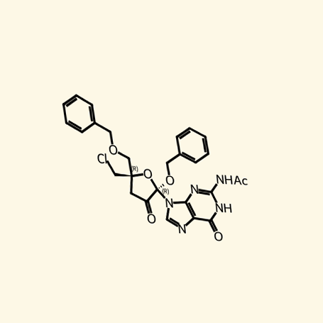 CC(=O)Nc1nc2c(ncn2[C@]2(OCc3ccccc3)O[C@@](CCl)(COCc3ccccc3)CC2=O)c(=O)[nH]1